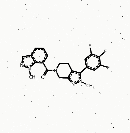 Cn1nc2c(c1-c1cc(F)c(F)c(F)c1)CCN(C(=O)c1cccc3cnn(C)c13)C2